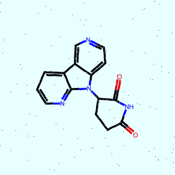 O=C1CCC(n2c3ccncc3c3cccnc32)C(=O)N1